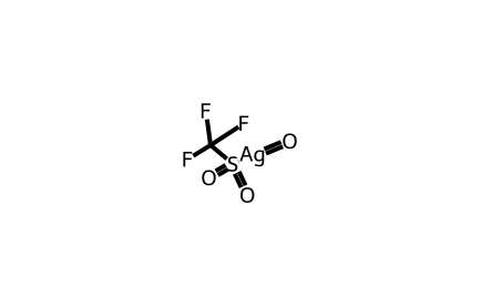 [O]=[Ag][S](=O)(=O)C(F)(F)F